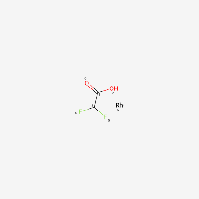 O=C(O)C(F)F.[Rh]